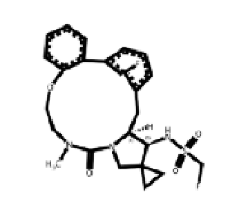 CN1CCOc2ccccc2-c2cccc(c2F)C[C@H]2[C@@H](NS(=O)(=O)CF)C3(CC3)CN2C1=O